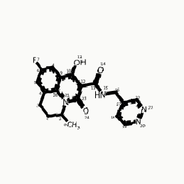 CC1CCc2cc(F)cc3c(O)c(C(=O)NCc4ccnnc4)c(=O)n1c23